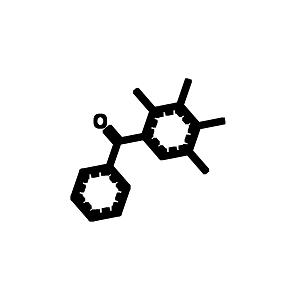 Cc1cc(C(=O)c2ccccc2)c(C)c(C)c1C